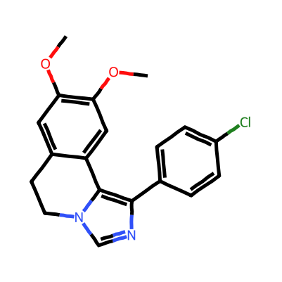 COc1cc2c(cc1OC)-c1c(-c3ccc(Cl)cc3)ncn1CC2